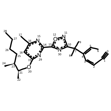 C#C/C=C\C(=C/C)C(C)(C)c1noc(-c2nc(C)cc(O[C@@H](C)[C@@H](C)CCCC)n2)n1